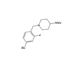 CCC(C)c1ccc(CN2CCC(NC)CC2)c(F)c1